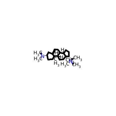 CC([C@H]1CC[C@H]2[C@@H]3CC=C4C[C@@H](N(C)C)CC[C@]4(C)[C@H]3CC[C@]12C)N(C)C